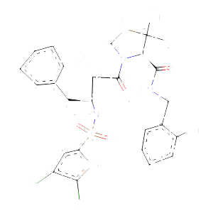 Cc1ccccc1CNC(=O)[C@H]1N(C(=O)[C@@H](O)[C@H](Cc2ccccc2)NS(=O)(=O)c2cc(Cl)c(Cl)s2)CSC1(C)C